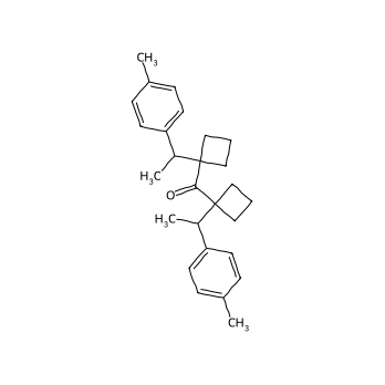 Cc1ccc(C(C)C2(C(=O)C3(C(C)c4ccc(C)cc4)CCC3)CCC2)cc1